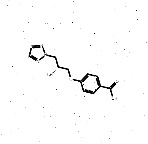 N[C@@H](COc1ccc(C(=O)O)cc1)Cn1ncnn1